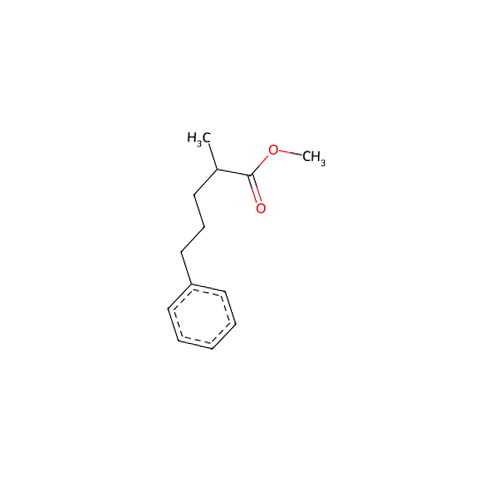 COC(=O)C(C)CCCc1ccccc1